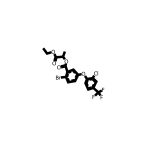 CCOC(=O)C(C)OC(=O)c1cc(Oc2ccc(C(F)(F)F)cc2Cl)ccc1Br